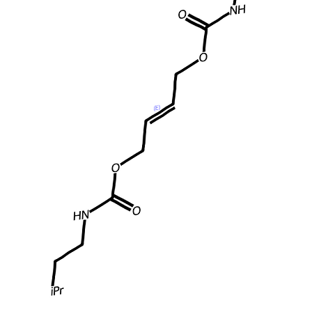 CC(C)CCNC(=O)OC/C=C/COC(=O)NC(C)C